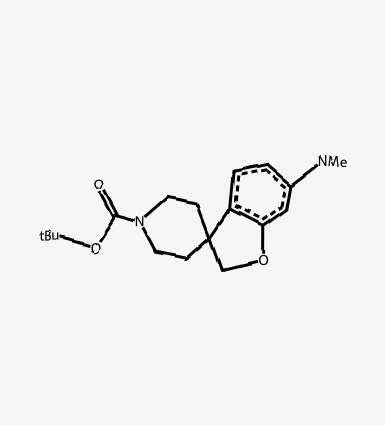 CNc1ccc2c(c1)OCC21CCN(C(=O)OC(C)(C)C)CC1